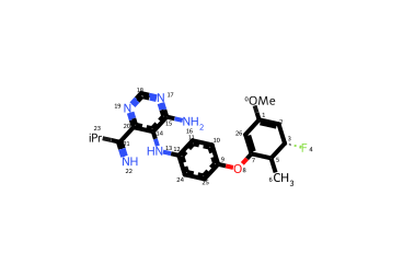 COC1=C[C@H](F)C(C)C(Oc2ccc(Nc3c(N)ncnc3C(=N)C(C)C)cc2)=C1